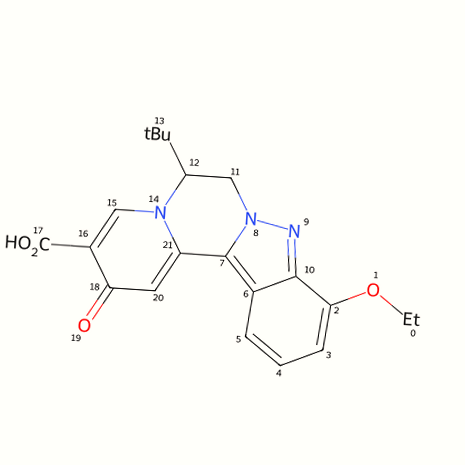 CCOc1cccc2c3n(nc12)CC(C(C)(C)C)n1cc(C(=O)O)c(=O)cc1-3